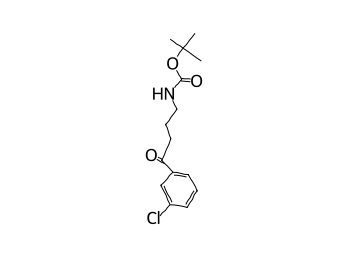 CC(C)(C)OC(=O)NCCCC(=O)c1cccc(Cl)c1